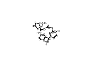 CSC1(C(=O)Nc2ccc3[nH]nc(-c4ccc(F)c(OC5CC5)n4)c3c2)CCNC1